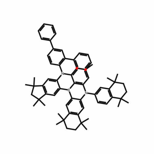 Cc1cc2c3c(c1)N(c1ccc(-c4ccccc4)cc1-c1ccccc1)c1cc4c(cc1B3c1cc3c(cc1N2c1ccc2c(c1)C(C)(C)CCC2(C)C)C(C)(C)CCC3(C)C)C(C)(C)CC4(C)C